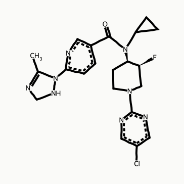 CC1=NCNN1c1ccc(C(=O)N(C2CC2)[C@@H]2CCN(c3ncc(Cl)cn3)C[C@@H]2F)cn1